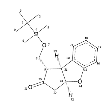 CC(C)(C)[Si](C)(C)OC[C@H]1C(=O)C[C@@H]2Oc3ccccc3[C@@H]21